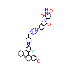 Cc1cc(N2CCC(CN3CCN(c4ccc5c(c4)CN([C@H]4CCC(=O)NC4=O)C5=O)CC3)CC2)cc(F)c1[C@H]1c2ccc(O)cc2CC[C@H]1C1CCCCC1